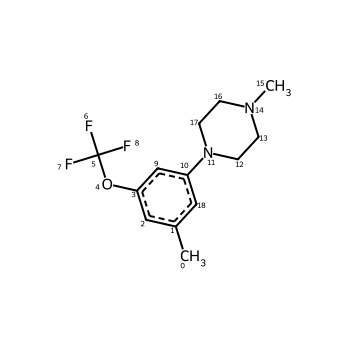 Cc1cc(OC(F)(F)F)cc(N2CCN(C)CC2)c1